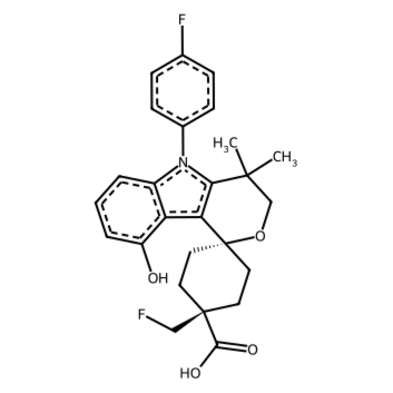 CC1(C)CO[C@]2(CC[C@@](CF)(C(=O)O)CC2)c2c1n(-c1ccc(F)cc1)c1cccc(O)c12